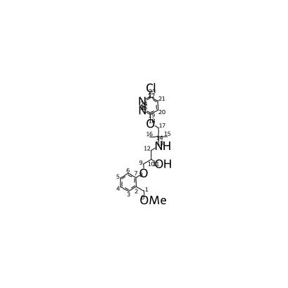 COCc1ccccc1OCC(O)CNC(C)(C)COc1ccc(Cl)nn1